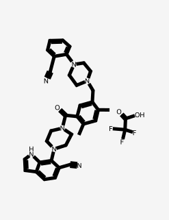 Cc1cc(C)c(C(=O)N2CCN(c3c(C#N)ccc4cc[nH]c34)CC2)cc1CN1CCN(c2ccccc2C#N)CC1.O=C(O)C(F)(F)F